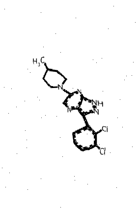 CC1CCN(c2cnc3c(-c4cccc(Cl)c4Cl)n[nH]c3n2)CC1